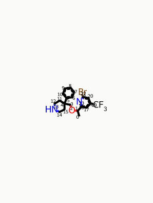 CC(OCC1(c2ccccc2)CCNCC1)c1cc(C(F)(F)F)cc(Br)n1